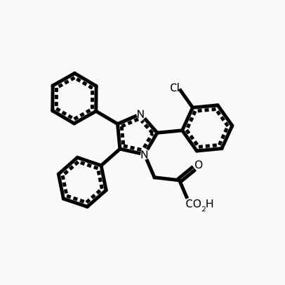 O=C(O)C(=O)Cn1c(-c2ccccc2Cl)nc(-c2ccccc2)c1-c1ccccc1